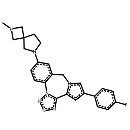 CN1CC2(CCN(c3ccc4c(c3)Cn3cc(-c5ccc(F)cc5)cc3-c3nnnn3-4)C2)C1